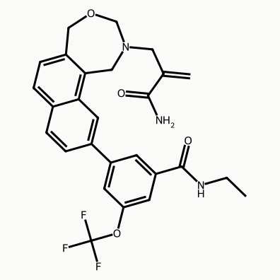 C=C(CN1COCc2ccc3ccc(-c4cc(OC(F)(F)F)cc(C(=O)NCC)c4)cc3c2C1)C(N)=O